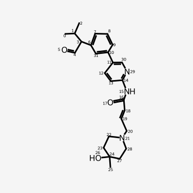 CC(C)C(C=O)c1cccc(-c2ccc(NC(=O)/C=C/CN3CCC(C)(O)CC3)nc2)c1